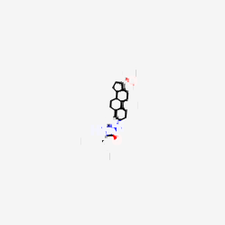 CC(=O)[C@H]1CCC2C3CCC4=CC(=NN5C(=O)[C@H](C(C)C)N[C@H]5C)CC[C@]4(C)C3CC[C@@]21C